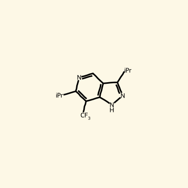 CC(C)c1ncc2c(C(C)C)n[nH]c2c1C(F)(F)F